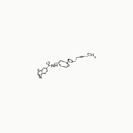 CCC#CCCOc1cccc(CNC(=O)c2ccc3ncsc3c2)c1